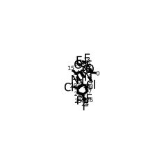 CC(=O)N(C)c1c(S(=O)(=O)C(F)(F)F)c(C)nn1-c1c(Cl)cc(C(F)(F)F)cc1Cl